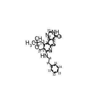 CC1(C)Cc2c(c(NCCc3ccccc3)nc3sc4c(=O)[nH]cnc4c23)CO1